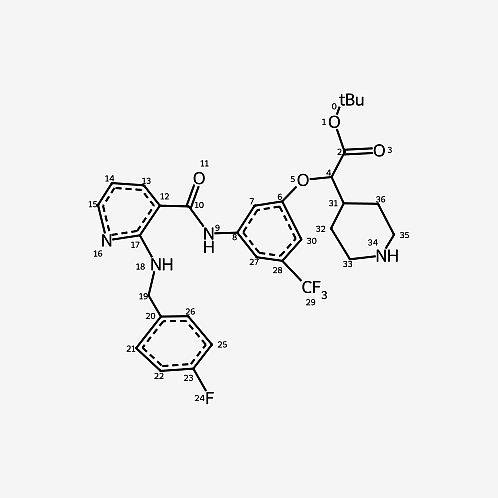 CC(C)(C)OC(=O)C(Oc1cc(NC(=O)c2cccnc2NCc2ccc(F)cc2)cc(C(F)(F)F)c1)C1CCNCC1